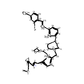 COC(=O)/C=C/c1cnc(CN2CCC(c3cccc(OCc4ccc(Cl)cc4F)n3)CC2)n1C[C@@H]1CCO1